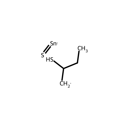 [CH2]C(S)CC.[S]=[Sn]